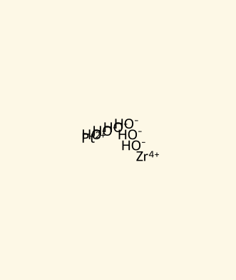 [OH-].[OH-].[OH-].[OH-].[OH-].[OH-].[Pt+2].[Zr+4]